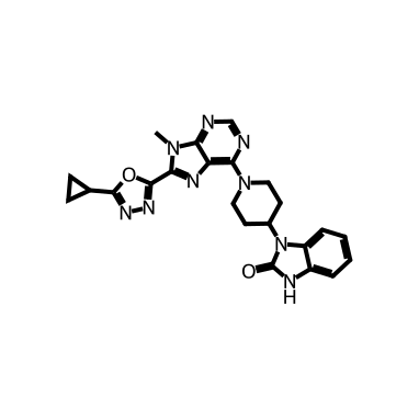 Cn1c(-c2nnc(C3CC3)o2)nc2c(N3CCC(n4c(=O)[nH]c5ccccc54)CC3)ncnc21